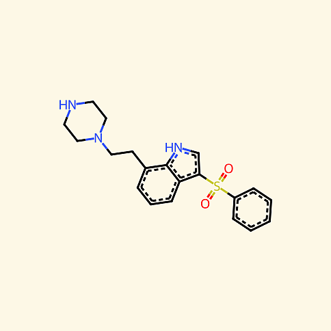 O=S(=O)(c1ccccc1)c1c[nH]c2c(CCN3CCNCC3)cccc12